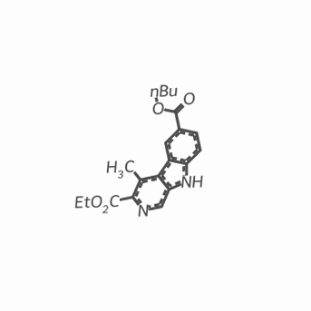 CCCCOC(=O)c1ccc2[nH]c3cnc(C(=O)OCC)c(C)c3c2c1